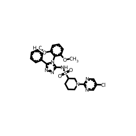 COc1cccc(OC)c1-n1c(NS(=O)(=O)C2CCCN(c3ncc(Cl)cn3)C2)nnc1-c1ccccc1